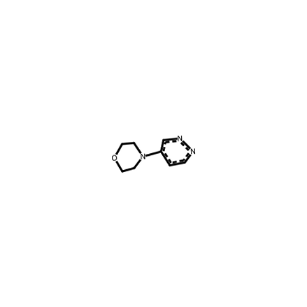 c1cc(N2CCOCC2)cnn1